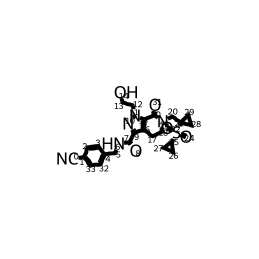 N#Cc1ccc(CNC(=O)c2nn(CCO)c3c2CCN(CC2(S(=O)(=O)C4CC4)CC2)C3=O)cc1